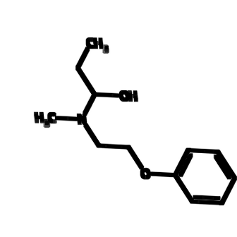 CCC(O)N(C)CCOc1ccccc1